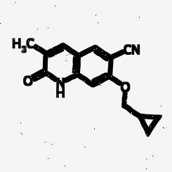 Cc1cc2cc(C#N)c(OCC3CC3)cc2[nH]c1=O